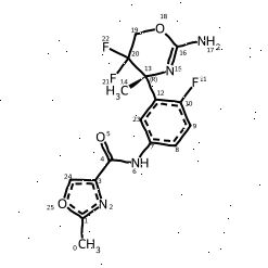 Cc1nc(C(=O)Nc2ccc(F)c([C@@]3(C)N=C(N)OCC3(F)F)c2)co1